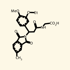 CCOc1cc(C(CC(=O)NCC(=O)O)N2C(=O)c3ccc(C)cc3C2=O)ccc1OC